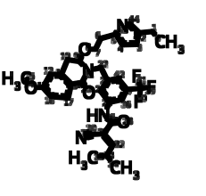 CCc1ccc(CCOC2Cc3cc(OC)ccc3C(=O)N2Cc2cc(NC(=O)C(C#N)=CC(C)C)cc(C(F)(F)F)c2)nc1